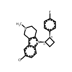 CN1CCc2c(c3cc(Cl)ccc3n2[C@@H]2CC[C@@H]2c2ccc(F)cc2)C1